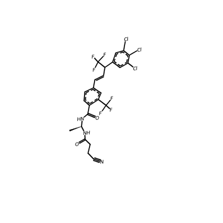 C[C@H](NC(=O)CCC#N)NC(=O)c1ccc(/C=C/C(c2cc(Cl)c(Cl)c(Cl)c2)C(F)(F)F)cc1C(F)(F)F